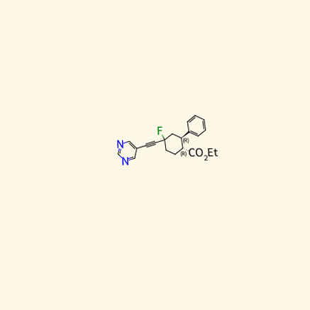 CCOC(=O)[C@@H]1CCC(F)(C#Cc2cncnc2)C[C@H]1c1ccccc1